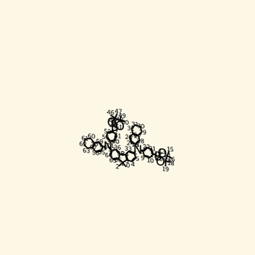 CC1(C)c2ccc(N(c3ccc(B4OC(C)(C)C(C)(C)O4)cc3)c3ccc4c(c3)CCCC4)cc2-c2cc(N(c3ccc(B4OC(C)(C)C(C)(C)O4)cc3)c3ccc4c(c3)CCCC4)ccc21